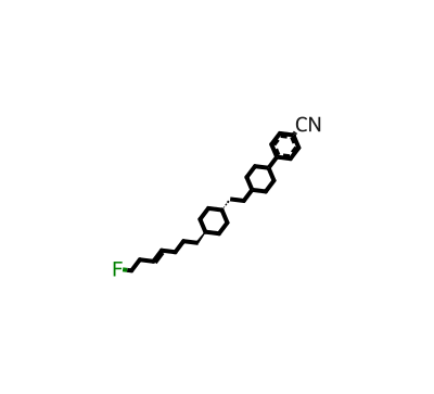 N#Cc1ccc(C2CCC(CC[C@H]3CC[C@H](CCC/C=C/CCF)CC3)CC2)cc1